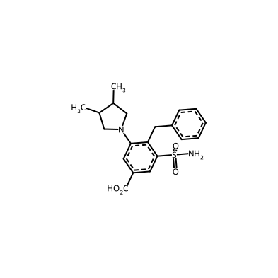 CC1CN(c2cc(C(=O)O)cc(S(N)(=O)=O)c2Cc2ccccc2)CC1C